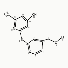 CCOCc1cccc(Sc2cc(C#N)cc(C(F)(F)F)n2)c1